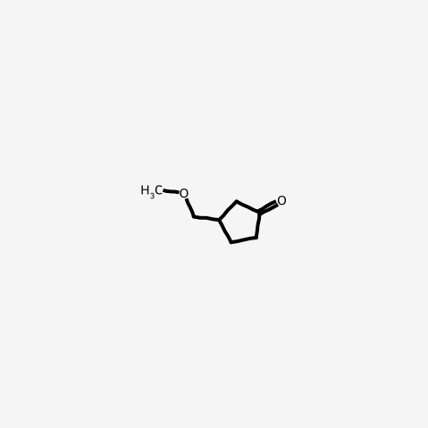 COCC1CCC(=O)C1